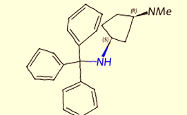 CN[C@@H]1CC[C@H](NC(c2ccccc2)(c2ccccc2)c2ccccc2)C1